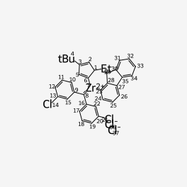 CCC1C=C(C(C)(C)C)C=[C]1[Zr+2](=[C](c1cccc(Cl)c1)c1cccc(Cl)c1)[c]1cccc2c1Cc1ccccc1-2.[Cl-].[Cl-]